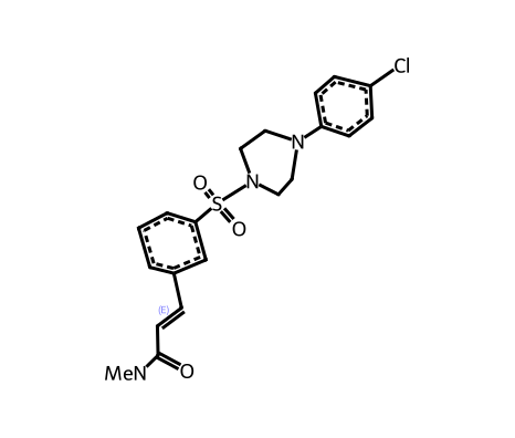 CNC(=O)/C=C/c1cccc(S(=O)(=O)N2CCN(c3ccc(Cl)cc3)CC2)c1